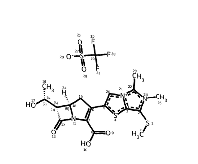 CSc1c2sc(C3=C(C(=O)O)N4C(=O)[C@H]([C@@H](C)O)[C@H]4C3)c[n+]2c(C)n1C.O=S(=O)([O-])C(F)(F)F